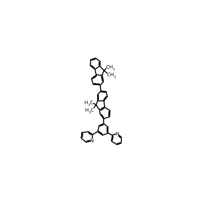 CC1(C)c2ccccc2-c2ccc(-c3ccc4c(c3)C(C)(C)c3cc(-c5cc(-c6ccccn6)cc(-c6ccccn6)c5)ccc3-4)cc21